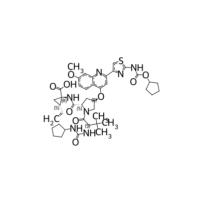 C=C[C@@H]1C[C@]1(NC(=O)[C@@H]1C[C@@H](Oc2cc(-c3csc(NC(=O)OC4CCCC4)n3)nc3cc(OC)ccc23)CN1C(=O)[C@@H](NC(=O)NC1CCCC1)C(C)(C)C)C(=O)O